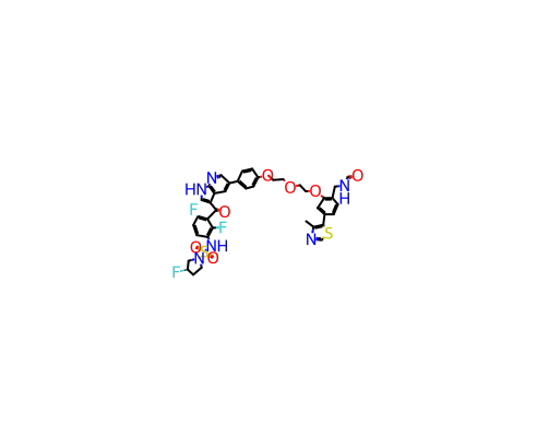 Cc1ncsc1-c1ccc(CNC=O)c(OCCOCCOc2ccc(-c3cnc4[nH]cc(C(=O)c5c(F)ccc(NS(=O)(=O)N6CC[C@@H](F)C6)c5F)c4c3)cc2)c1